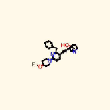 CCOC1CCN(c2ccc(C#C[C@@]3(O)CN4CCC3CC4)c(Cc3ccccc3)n2)CC1